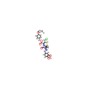 COc1ccc(COC(=O)C2=C(CCl)CS[C@H]3[C@H](N=Cc4ccc5c(c4)OCO5)C(=O)N23)cc1